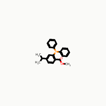 COC(=O)c1ccc(C(C)C)cc1P(c1ccccc1)c1ccccc1